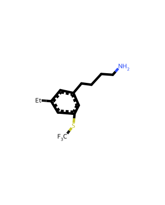 CCc1cc(CCCCN)cc(SC(F)(F)F)c1